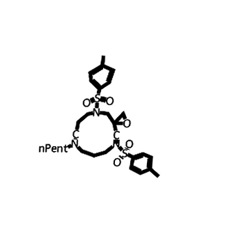 CCCCCN1CCCN(S(=O)(=O)c2ccc(C)cc2)CC2(CO2)CN(S(=O)(=O)c2ccc(C)cc2)CCC1